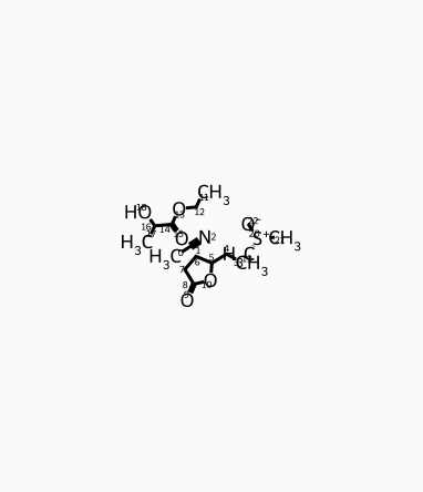 CC#N.CCC1CCC(=O)O1.CCOC(=O)C(C)O.C[S+](C)[O-]